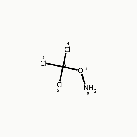 NOC(Cl)(Cl)Cl